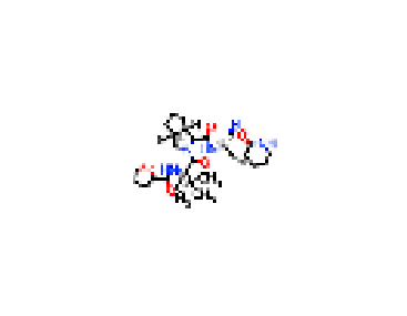 CC(C)(C)[C@H](NC(=O)C1CCCO1)C(=O)N1C[C@@H]2CCC[C@@H]2[C@H]1C(=O)N[C@H](C#N)C[C@@H]1CCCNC1=O